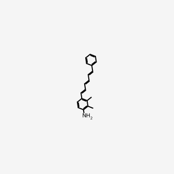 Cc1c(N)ccc(C=CC=CC=Cc2ccccc2)c1C